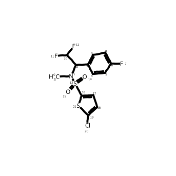 CN(C(c1ccc(F)cc1)C(F)F)S(=O)(=O)c1ccc(Cl)s1